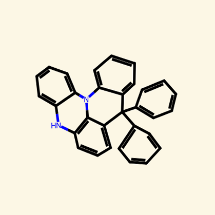 c1ccc(C2(c3ccccc3)c3ccccc3N3c4ccccc4Nc4cccc2c43)cc1